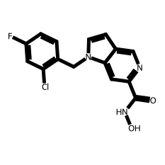 O=C(NO)c1cc2c(ccn2Cc2ccc(F)cc2Cl)cn1